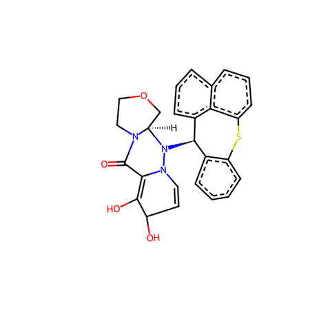 O=C1C2=C(O)C(O)C=CN2N([C@@H]2c3ccccc3Sc3cccc4cccc2c34)[C@@H]2COCCN12